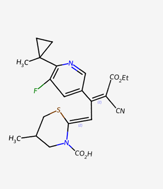 CCOC(=O)/C(C#N)=C(/C=C1\SCC(C)CN1C(=O)O)c1cnc(C2(C)CC2)c(F)c1